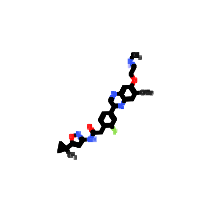 C/N=C/COc1cc2ncc(-c3ccc(CC(=O)Nc4cc(C5(C(F)(F)F)CC5)on4)c(F)c3)nc2cc1OC